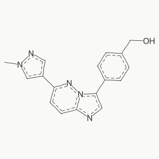 Cn1cc(-c2ccc3ncc(-c4ccc(CO)cc4)n3n2)cn1